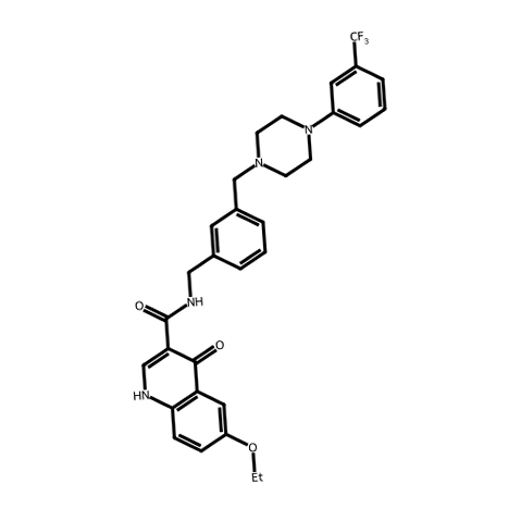 CCOc1ccc2[nH]cc(C(=O)NCc3cccc(CN4CCN(c5cccc(C(F)(F)F)c5)CC4)c3)c(=O)c2c1